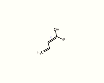 C=C/C=C(/O)C(C)C